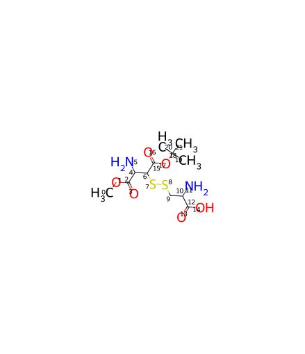 COC(=O)C(N)C(SSCC(N)C(=O)O)C(=O)OC(C)(C)C